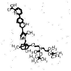 Cc1c(C2CNc3cc(-c4cccc(C(=O)O)n4)ccc3C2)cnn1CC12CC3(C)CC(C)(C1)CC(OCCN(CCC(=O)OC(C)(C)C)C(=O)OC(C)(C)C)(C3)C2